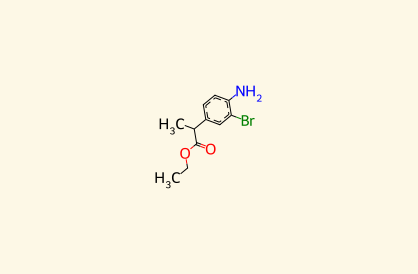 CCOC(=O)C(C)c1ccc(N)c(Br)c1